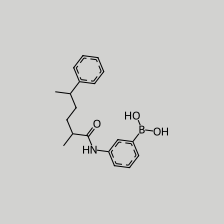 CC(CCC(C)c1ccccc1)C(=O)Nc1cccc(B(O)O)c1